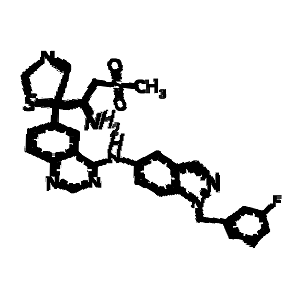 CS(=O)(=O)CC(N)C1(c2ccc3ncnc(Nc4ccc5c(cnn5Cc5cccc(F)c5)c4)c3c2)C=NCS1